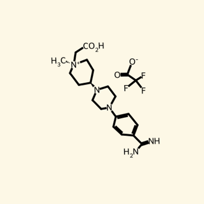 C[N@+]1(CC(=O)O)CC[C@@H](N2CCN(c3ccc(C(=N)N)cc3)CC2)CC1.O=C([O-])C(F)(F)F